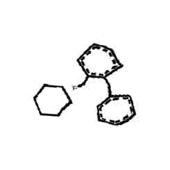 C1CCCCC1.Fc1ccccc1-c1ccccc1